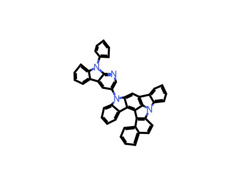 c1ccc(-n2c3ccccc3c3cc(-n4c5ccccc5c5c6c7c8ccccc8ccc7n7c8ccccc8c(cc54)c67)cnc32)cc1